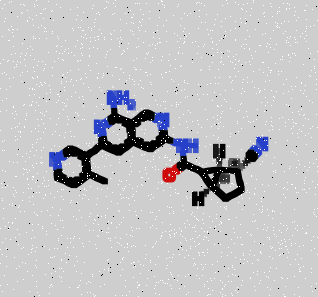 Cc1ccncc1-c1cc2cc(NC(=O)C3[C@H]4[C@H](C#N)CC[C@@H]34)ncc2c(N)n1